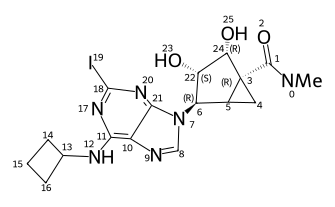 CNC(=O)[C@]12CC1[C@@H](n1cnc3c(NC4CCC4)nc(I)nc31)[C@H](O)[C@@H]2O